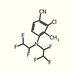 Cc1c(N(C(F)C(F)F)C(F)C(F)F)ccc(C#N)c1Cl